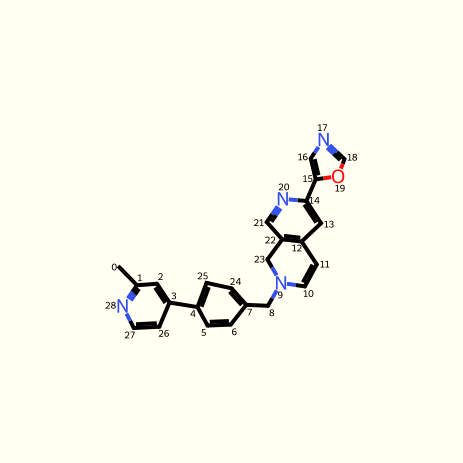 Cc1cc(-c2ccc(CN3C=Cc4cc(-c5cnco5)ncc4C3)cc2)ccn1